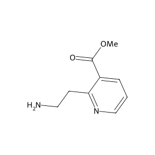 COC(=O)c1cccnc1CCN